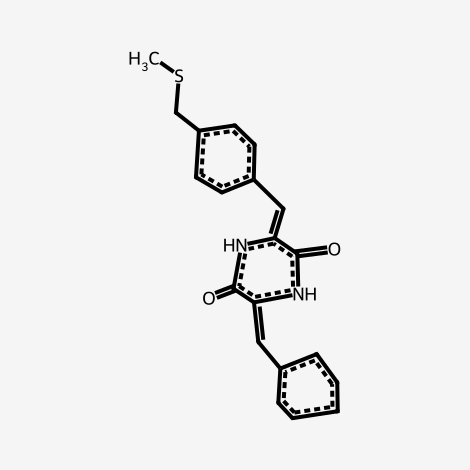 CSCc1ccc(C=c2[nH]c(=O)c(=Cc3ccccc3)[nH]c2=O)cc1